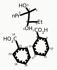 CCCC(C)(O)C(O)CC.O=C(O)c1ccccc1.O=C(O)c1ccccc1